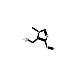 BCc1c(N=O)ncn1C